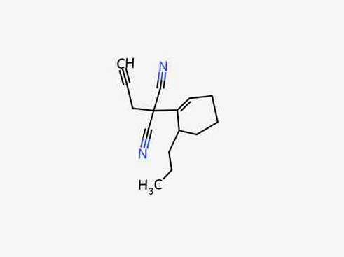 C#CCC(C#N)(C#N)C1=CCCCC1CCC